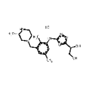 Cc1cc(CN2CCN[C@@H](C)C2)c(C)c(Nc2nnc(C(O)CO)o2)c1.Cl